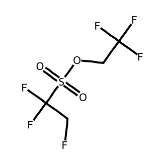 O=S(=O)(OCC(F)(F)F)C(F)(F)CF